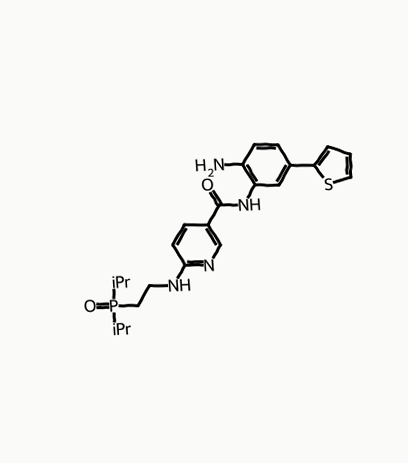 CC(C)P(=O)(CCNc1ccc(C(=O)Nc2cc(-c3cccs3)ccc2N)cn1)C(C)C